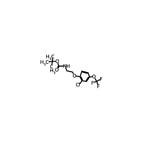 CC(C)(C)OC(=O)NCCOc1ccc(OC(F)(F)F)cc1Cl